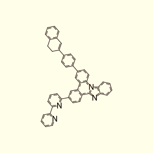 C1=C(c2ccc(-c3ccc4c(c3)c3cc(-c5cccc(-c6ccccn6)n5)ccc3c3nc5ccccc5n43)cc2)CCc2ccccc21